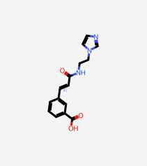 O=C(/C=C/c1cccc(C(=O)O)c1)NCCn1ccnc1